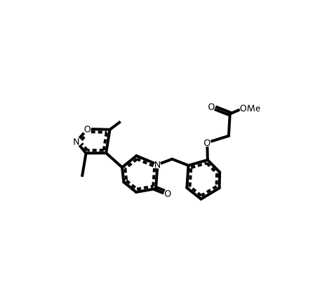 COC(=O)COc1ccccc1Cn1cc(-c2c(C)noc2C)ccc1=O